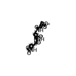 COC(=O)C12C3C4C1C1C2C3C41C(=O)NCc1ccc2nc(C(=O)NCc3ccc4c(c3)NC(=O)CO4)[nH]c(=O)c2c1